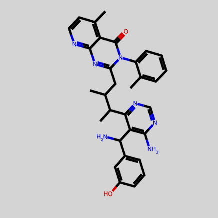 Cc1ccccc1-n1c(CC(C)C(C)c2ncnc(N)c2C(N)c2cccc(O)c2)nc2nccc(C)c2c1=O